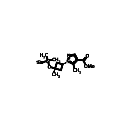 COC(=O)c1cnn([C@H]2C[C@@](C)(O[Si](C)(C)C(C)(C)C)C2)c1C